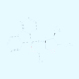 CCC(O[Si](c1ccccc1)(c1ccccc1)C(C)(C)C)[C@@H]1C[C@@H](OC(C)=O)C(OC(C)=O)O1